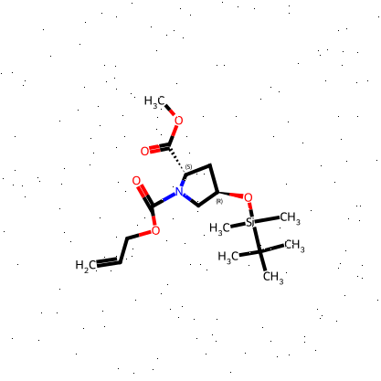 C=CCOC(=O)N1C[C@H](O[Si](C)(C)C(C)(C)C)C[C@H]1C(=O)OC